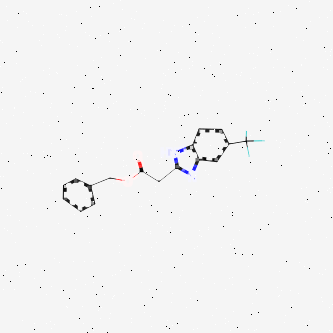 O=C(Cc1nc2cc(C(F)(F)F)ccc2[nH]1)OCc1ccccc1